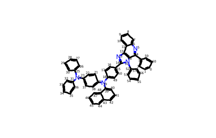 c1ccc(-c2nc3ccccc3c3nc(-c4ccc(N(c5ccc(N(c6ccccc6)c6ccccc6)cc5)c5cccc6ccccc56)cc4)n(-c4ccccc4)c23)cc1